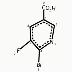 O=C(O)c1cnc(Br)c(F)c1